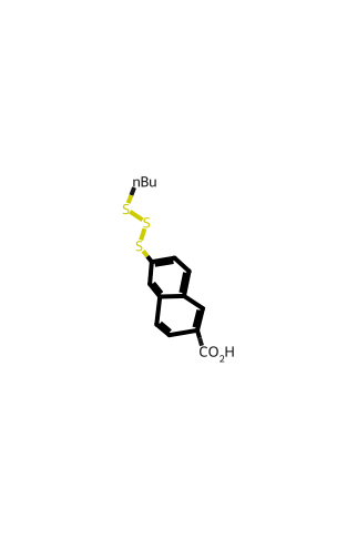 CCCCSSSc1ccc2cc(C(=O)O)ccc2c1